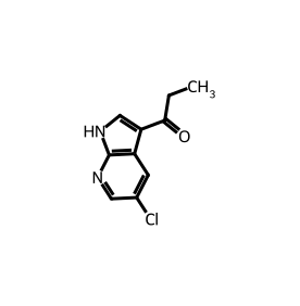 CCC(=O)c1c[nH]c2ncc(Cl)cc12